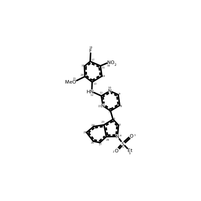 CCS(=O)(=O)n1cc(-c2ccnc(Nc3cc([N+](=O)[O-])c(F)cc3OC)n2)c2ccccc21